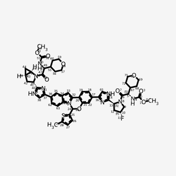 COC(=O)N[C@H](C(=O)N1C[C@H](F)C[C@H]1c1nc(-c2ccc3c(c2)OC(c2ccc(C)s2)n2c-3cc3cc(-c4c[nH]c([C@@H]5C[C@H]6C[C@H]6N5C(=O)[C@@H](NC(=O)OC)C5CCOCC5)n4)ccc32)c[nH]1)C1CCOCC1